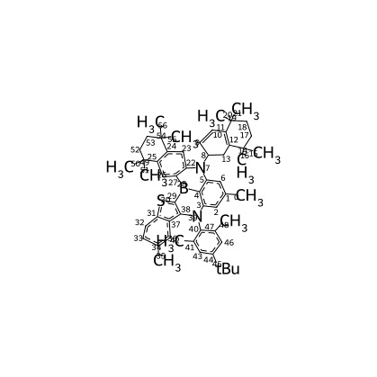 Cc1cc2c3c(c1)N(C1C=CC4=C(C1)C(C)(C)CCC4(C)C)c1cc4c(cc1B3c1sc3ccc(C)cc3c1N2c1c(C)cc(C(C)(C)C)cc1C)C(C)(C)CCC4(C)C